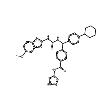 COc1ccc2nc(NC(=O)NC(c3ccc(C(=O)Nc4nn[nH]n4)cc3)c3ccc(C4CCCCC4)cc3)sc2c1